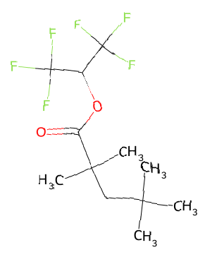 CC(C)(C)CC(C)(C)C(=O)OC(C(F)(F)F)C(F)(F)F